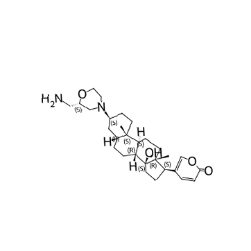 C[C@]12CC[C@H](N3CCO[C@@H](CN)C3)C[C@H]1CC[C@@H]1[C@@H]2CC[C@]2(C)[C@@H](c3ccc(=O)oc3)CC[C@]12O